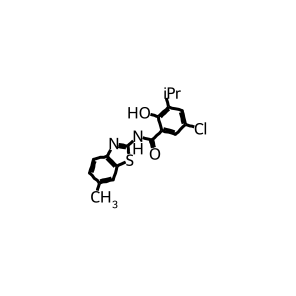 Cc1ccc2nc(NC(=O)c3cc(Cl)cc(C(C)C)c3O)sc2c1